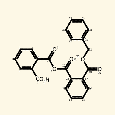 O=C(O)c1ccccc1C(=O)OC(=O)c1ccccc1C(=O)OCc1ccccc1